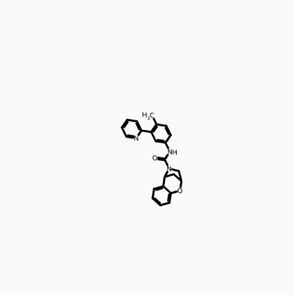 Cc1ccc(NC(=O)N2CC3CC2c2ccccc2O3)cc1-c1ccccn1